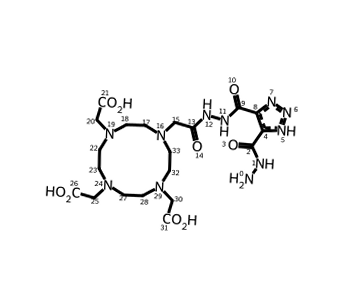 NNC(=O)c1[nH]nnc1C(=O)NNC(=O)CN1CCN(CC(=O)O)CCN(CC(=O)O)CCN(CC(=O)O)CC1